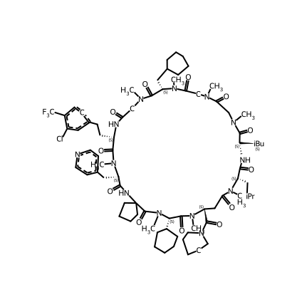 CC[C@H](C)[C@@H]1NC(=O)[C@H](CC(C)C)N(C)C(=O)C[C@@H](C(=O)N2CCCCC2)N(C)C(=O)[C@H](C2CCCCC2)N(C)C(=O)C2(CCCC2)NC(=O)[C@H](Cc2ccncc2)N(C)C(=O)[C@H](CCc2ccc(C(F)(F)F)c(Cl)c2)NC(=O)CN(C)C(=O)[C@H](CC2CCCCC2)N(C)C(=O)CN(C)C(=O)CN(C)C1=O